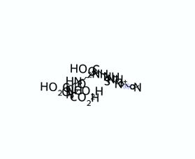 CN(C)c1ccc(/C=C/c2cc[n+](CCCNC(=S)NCCCCC(NC(=O)CCCCCCC(=O)NCCCC[C@H](NC(=O)N(C)C(CCC(=O)O)C(=O)O)C(=O)O)C(=O)O)cc2)cc1